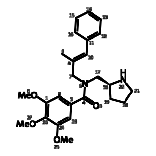 COc1cc(C(=O)N(CC(C)=Cc2ccccc2)C[C@@H]2CCCN2)cc(OC)c1OC